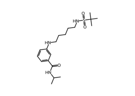 CC(C)NC(=O)c1cccc(NCCCCCNS(=O)(=O)C(C)(C)C)c1